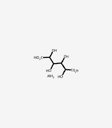 O=C(O)C(O)C(O)C(O)C(O)C(=O)O.[AlH3]